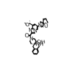 CO[C@H](C)c1cc(N2CC3(CCCO3)C2)cn2cc(C(=O)N3CC[C@]4(Cc5ccccc5CN4)[C@H](O)C3)nc12